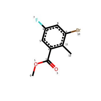 COC(=O)c1cc(F)cc(Br)c1C